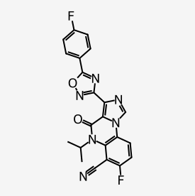 CC(C)n1c(=O)c2c(-c3noc(-c4ccc(F)cc4)n3)ncn2c2ccc(F)c(C#N)c21